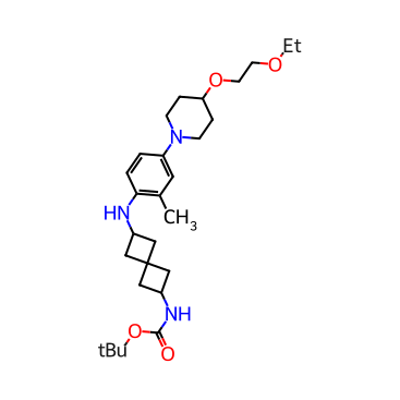 CCOCCOC1CCN(c2ccc(NC3CC4(CC(NC(=O)OC(C)(C)C)C4)C3)c(C)c2)CC1